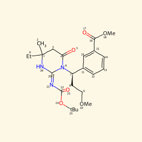 CCC1(C)CC(=O)N([C@H](CCOC)c2cccc(C(=O)OC)c2)/C(=N\C(=O)OC(C)(C)C)N1